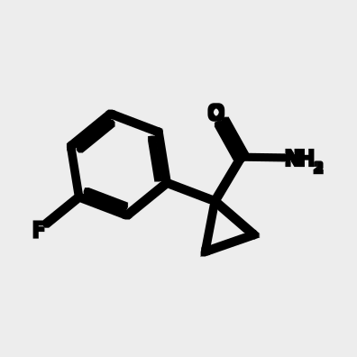 NC(=O)C1(c2cccc(F)c2)CC1